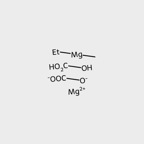 C[CH2][Mg][CH3].O=C(O)O.O=C([O-])[O-].[Mg+2]